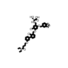 CCN(CC)C(=O)CCCOc1cccc(-c2cccc(COc3cc(OCc4ccc5nonc5c4)c(CN[C@H](CO)C(=O)O)cc3Cl)c2Cl)c1